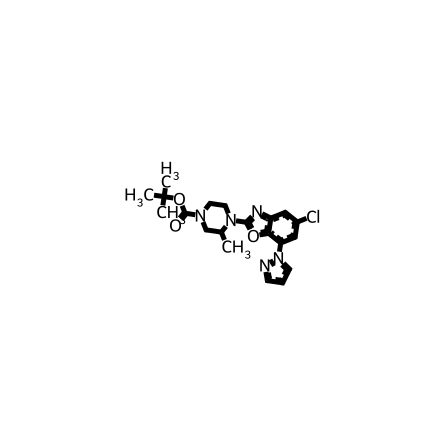 CC1CN(C(=O)OC(C)(C)C)CCN1c1nc2cc(Cl)cc(-n3cccn3)c2o1